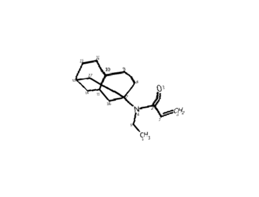 C=CC(=O)N(CC)C12CCC3CCC(CC3C1)C2